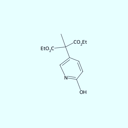 CCOC(=O)C(C)(C(=O)OCC)c1ccc(O)nc1